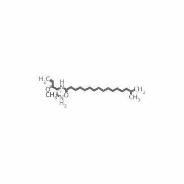 C=C[C@@H](OC)[C@H](CN)NC(=O)CCCCCCCCCCCCCC(C)C